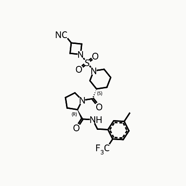 Cc1ccc(C(F)(F)F)c(CNC(=O)[C@H]2CCCN2C(=O)[C@H]2CCCN(S(=O)(=O)N3CC(C#N)C3)C2)c1